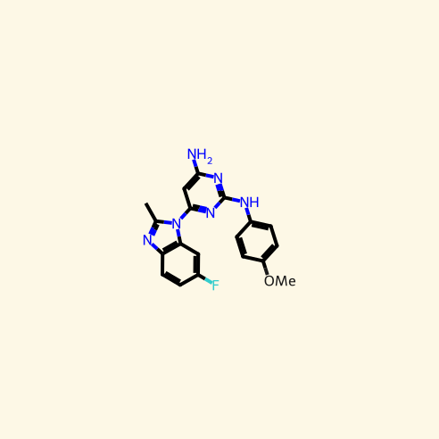 COc1ccc(Nc2nc(N)cc(-n3c(C)nc4ccc(F)cc43)n2)cc1